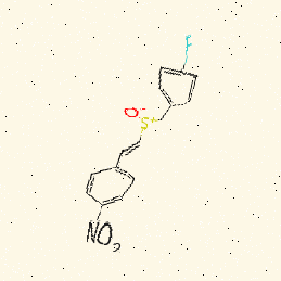 O=[N+]([O-])c1ccc(C=C[S+]([O-])Cc2ccc(F)cc2)cc1